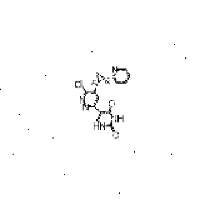 O=c1[nH]cc(-c2cc([C@H]3C[C@@H]3c3ccccn3)c(Cl)nn2)c(=O)[nH]1